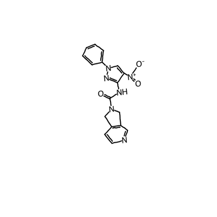 O=C(Nc1nn(-c2ccccc2)cc1[N+](=O)[O-])N1Cc2ccncc2C1